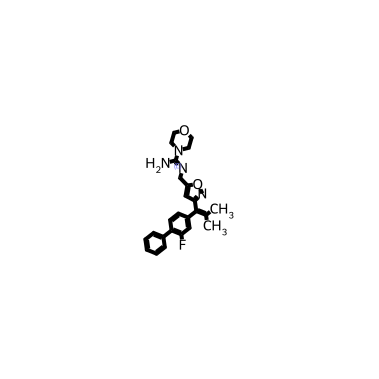 CC(C)=C(c1ccc(-c2ccccc2)c(F)c1)c1cc(C/N=C(\N)N2CCOCC2)on1